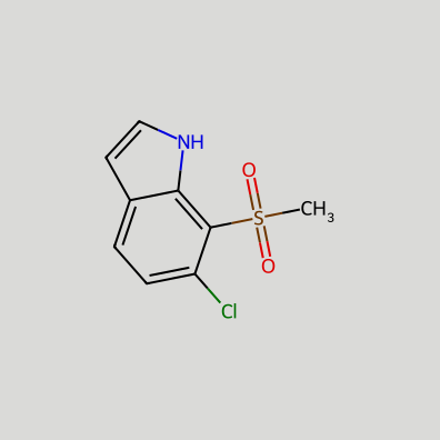 CS(=O)(=O)c1c(Cl)ccc2cc[nH]c12